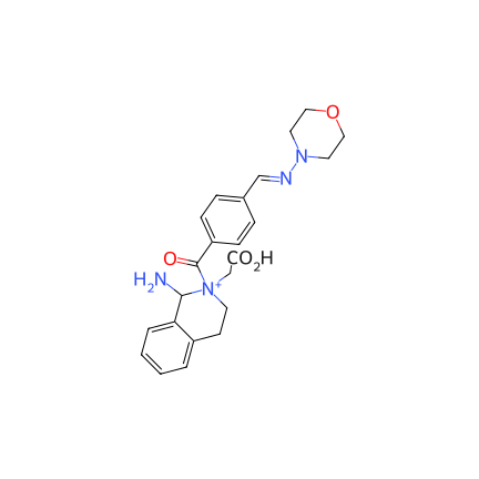 NC1c2ccccc2CC[N+]1(CC(=O)O)C(=O)c1ccc(C=NN2CCOCC2)cc1